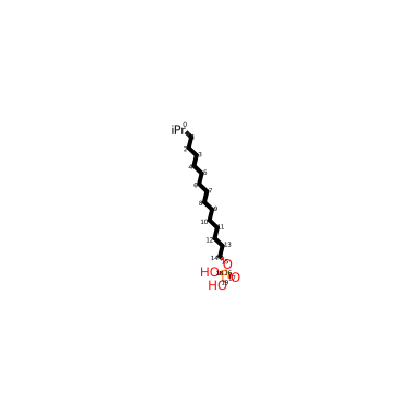 CC(C)CCCCCCCCCCCCCCOP(=O)(O)O